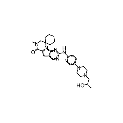 C[C@@H](O)CN1CCN(c2ccc(Nc3ncc4cc5n(c4n3)C3(CCCCC3)CN(C)C5=O)nc2)CC1